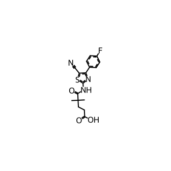 CC(C)(CCC(=O)O)C(=O)Nc1nc(-c2ccc(F)cc2)c(C#N)s1